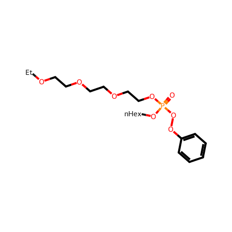 CCCCCCOP(=O)(OCCOCCOCCOCC)OOc1ccccc1